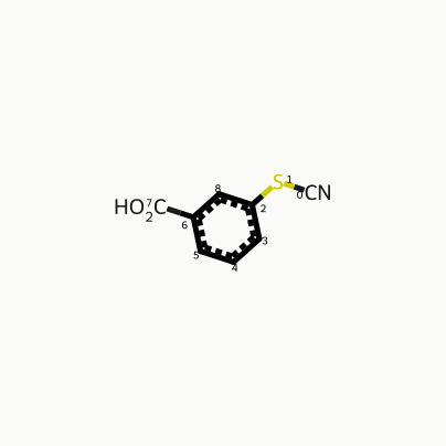 N#CSc1cccc(C(=O)O)c1